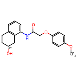 O=C(COc1ccc(OC(F)(F)F)cc1)Nc1cccc2c1C[C@H](O)CC2